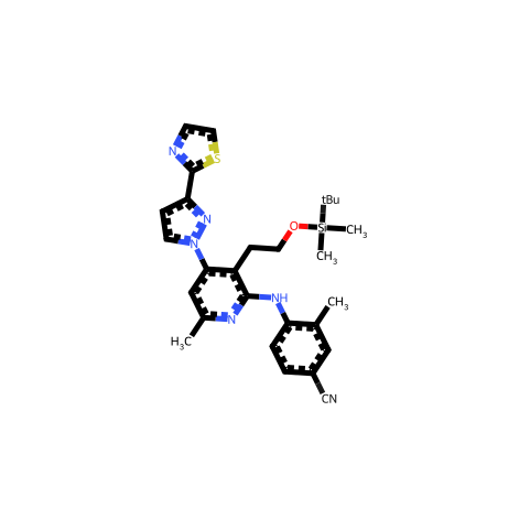 Cc1cc(-n2ccc(-c3nccs3)n2)c(CCO[Si](C)(C)C(C)(C)C)c(Nc2ccc(C#N)cc2C)n1